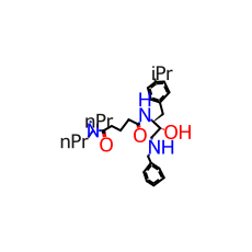 CCCN(CCC)C(=O)CCCC(=O)N[C@@H](Cc1ccc(C(C)C)cc1)[C@H](O)CNCc1ccccc1